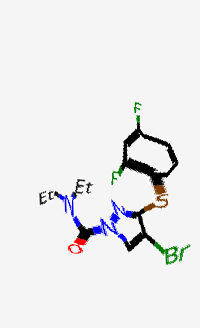 CCN(CC)C(=O)n1cc(Br)c(Sc2ccc(F)cc2F)n1